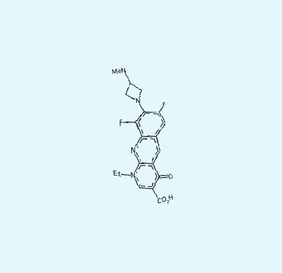 CCn1cc(C(=O)O)c(=O)c2cc3cc(F)c(N4CC(NC)C4)c(F)c3nc21